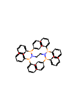 c1ccc(P(c2ccccc2)N(CCN(P(c2ccccc2)c2ccccc2)P(c2ccccc2)c2ccccc2)P(c2ccccc2)c2ccccc2)cc1